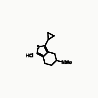 CNC1CCc2csc(C3CC3)c2C1.Cl